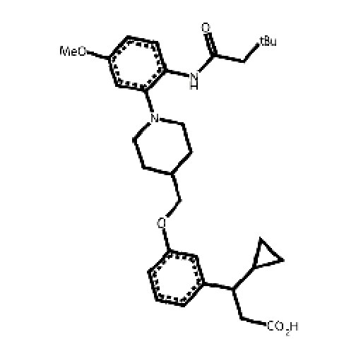 COc1ccc(NC(=O)CC(C)(C)C)c(N2CCC(COc3cccc(C(CC(=O)O)C4CC4)c3)CC2)c1